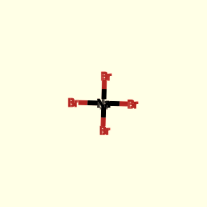 [Br][Na]([Br])([Br])[Br]